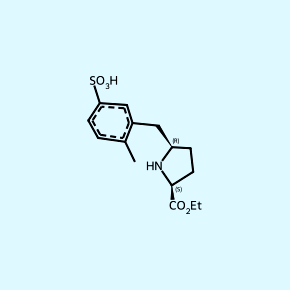 CCOC(=O)[C@@H]1CC[C@H](Cc2cc(S(=O)(=O)O)ccc2C)N1